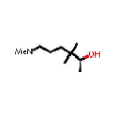 CNCCCC(C)(C)[C@H](C)O